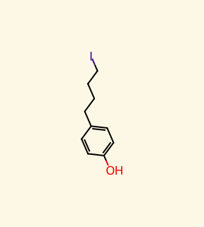 Oc1ccc(CCCCI)cc1